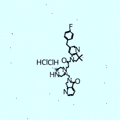 C[C@@H]1CN(CC(=O)N2CC(C)(C)c3ncc(Cc4ccc(F)cc4)cc32)[C@@H](CN2Cc3ncccc3C2=O)CN1.Cl.Cl